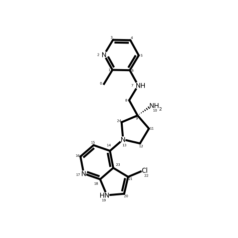 Cc1ncccc1NC[C@@]1(N)CCN(c2ccnc3[nH]cc(Cl)c23)C1